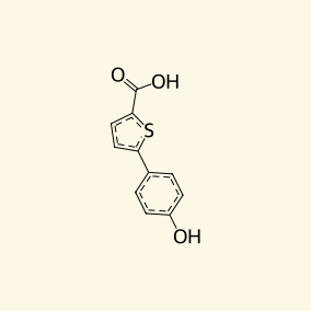 O=C(O)c1ccc(-c2ccc(O)cc2)s1